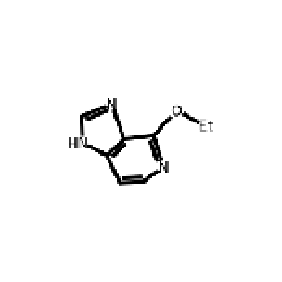 CCOc1nccc2[nH]cnc12